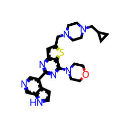 c1cc2c(-c3nc(N4CCOCC4)c4sc(CN5CCN(CC6CC6)CC5)cc4n3)cncc2[nH]1